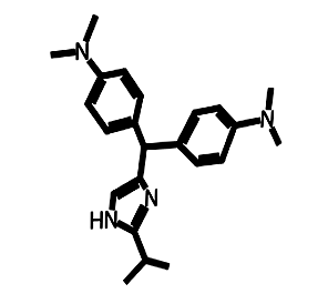 CC(C)c1nc(C(c2ccc(N(C)C)cc2)c2ccc(N(C)C)cc2)c[nH]1